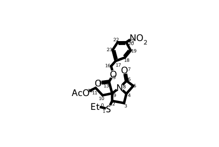 CCSC1CC2CC(=O)N2C1(CCOC(C)=O)C(=O)OCc1ccc([N+](=O)[O-])cc1